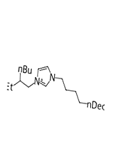 CCCCCCCCCCCCCCn1cc[n+](CC(CC)CCCC)c1